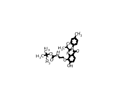 Cc1ccc(-n2c(C(C)C)nc3c(OCCNC(=O)OC(C)(C)C)c(O)ccc3c2=O)cc1